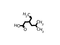 C=CC(CC(=O)O)CC(C)C